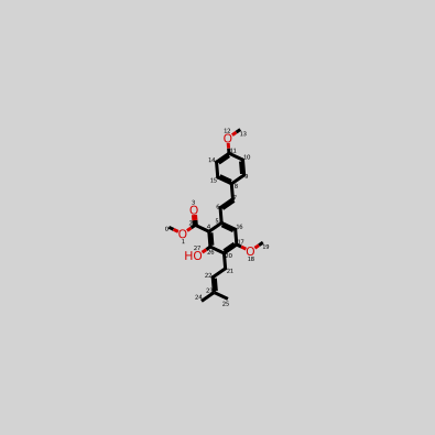 COC(=O)c1c(/C=C/c2ccc(OC)cc2)cc(OC)c(CC=C(C)C)c1O